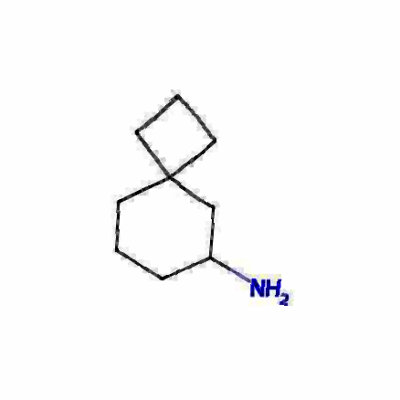 NC1CCCC2(CCC2)C1